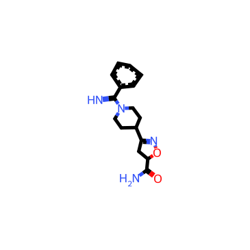 N=C(c1ccccc1)N1CCC(C2=NOC(C(N)=O)C2)CC1